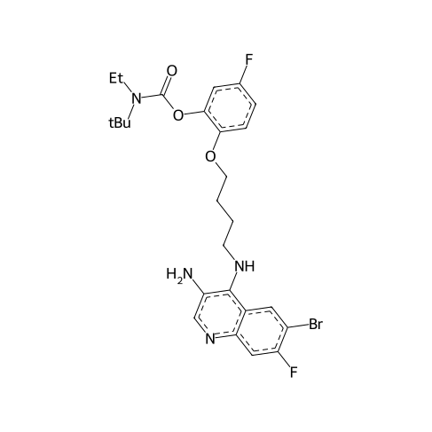 CCN(C(=O)Oc1cc(F)ccc1OCCCCNc1c(N)cnc2cc(F)c(Br)cc12)C(C)(C)C